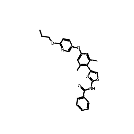 CCCOc1ccc(Oc2cc(C)c(-c3csc(NC(=O)c4ccccc4)n3)c(C)c2)cn1